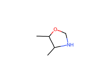 CC1NCOC1C